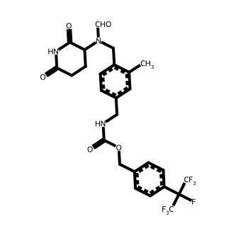 Cc1cc(CNC(=O)OCc2ccc(C(F)(C(F)(F)F)C(F)(F)F)cc2)ccc1CN(C=O)C1CCC(=O)NC1=O